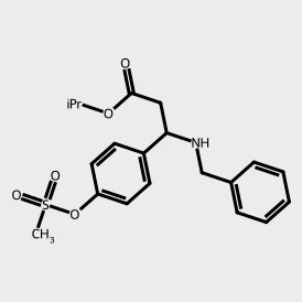 CC(C)OC(=O)CC(NCc1ccccc1)c1ccc(OS(C)(=O)=O)cc1